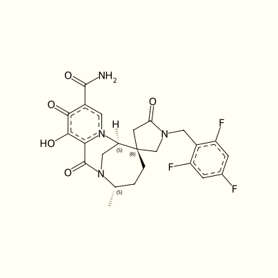 C[C@H]1CC[C@]2(CC(=O)N(Cc3c(F)cc(F)cc3F)C2)[C@H]2CN1C(=O)c1c(O)c(=O)c(C(N)=O)cn12